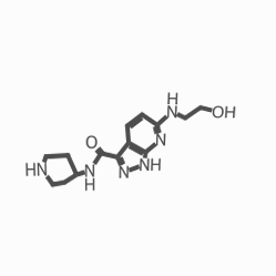 O=C(NC1CCNCC1)c1n[nH]c2nc(NCCO)ccc12